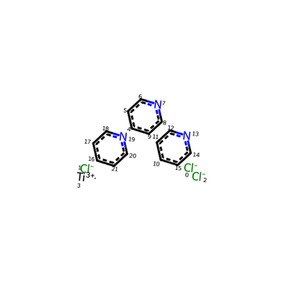 [Cl-].[Cl-].[Cl-].[Ti+3].c1ccncc1.c1ccncc1.c1ccncc1